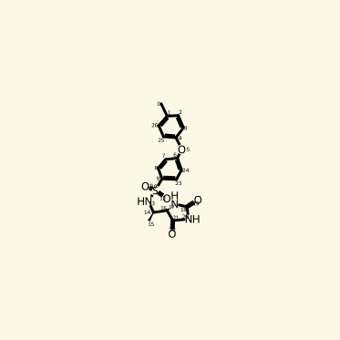 Cc1ccc(Oc2ccc(S(=O)(=O)N[C@H](C)[C@@H]3NC(=O)NC3=O)cc2)cc1